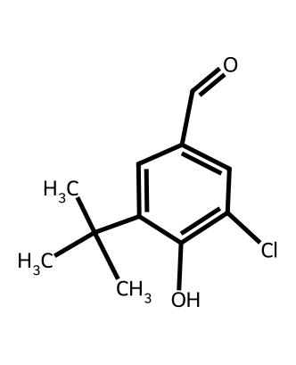 CC(C)(C)c1cc(C=O)cc(Cl)c1O